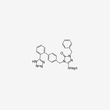 CCCCCCCc1nn(Cc2ccccc2)c(=O)n1Cc1ccc(-c2ccccc2-c2nnn[nH]2)cc1